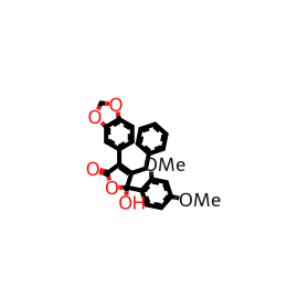 COc1ccc(C2(O)OC(=O)C(c3ccc4c(c3)OCO4)=C2Cc2ccccc2)c(OC)c1